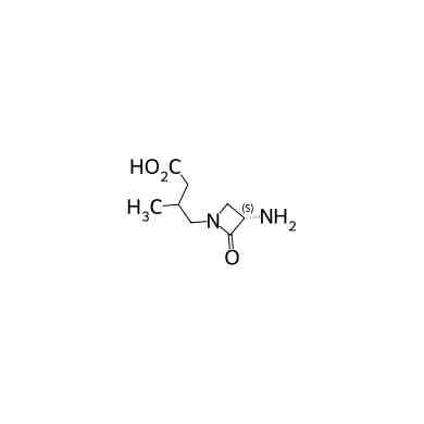 CC(CC(=O)O)CN1C[C@H](N)C1=O